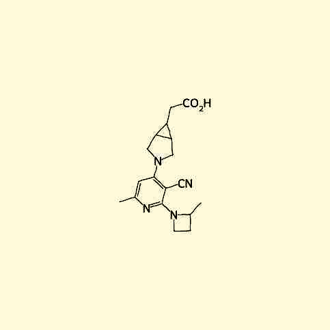 Cc1cc(N2CC3C(CC(=O)O)C3C2)c(C#N)c(N2CCC2C)n1